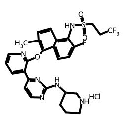 Cc1ccc2c(NS(=O)(=O)CCC(F)(F)F)c(F)ccc2c1Oc1ncccc1-c1ccnc(NC2CCCNC2)n1.Cl